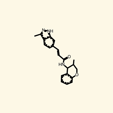 Cc1n[nH]c2cc(/C=C/C(=O)NC3c4ccccc4OCC3C)ccc12